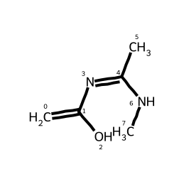 C=C(O)/N=C(/C)NC